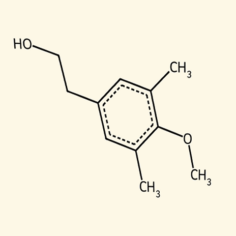 COc1c(C)cc(CCO)cc1C